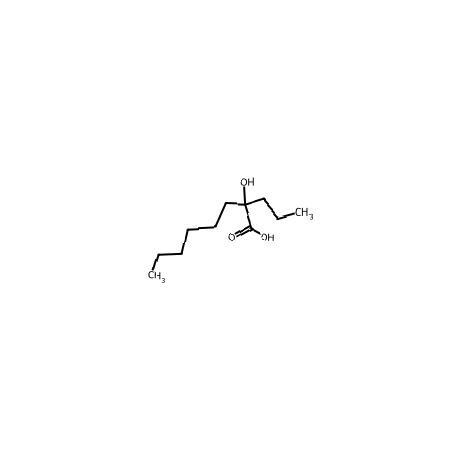 CCCCCCC(O)(CCC)C(=O)O